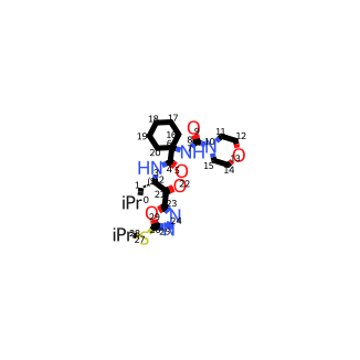 CC(C)C[C@H](NC(=O)C1(NC(=O)N2CCOCC2)CCCCC1)C(=O)c1nnc(SC(C)C)o1